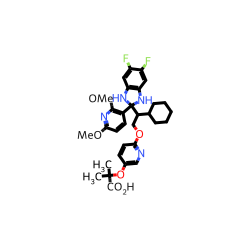 COc1ccc(C2(C(COc3ccc(OC(C)(C)C(=O)O)cn3)C3CCCCC3)Nc3cc(F)c(F)cc3N2)c(OC)n1